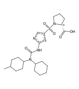 CC1CCC(N(C(=O)Nc2ncc(S(=O)(=O)N3CCC[C@@H]3C(=O)O)s2)C2CCCCC2)CC1